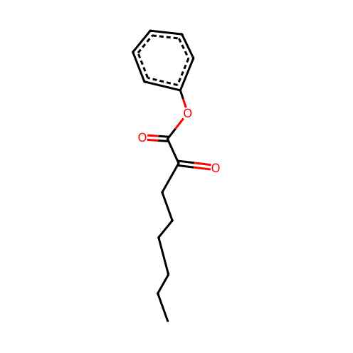 CCCCCCC(=O)C(=O)Oc1ccccc1